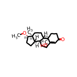 CO[C@H]1CC[C@H]2[C@@H]3CCC4=CC(=O)CC[C@]4(CO)[C@H]3CC[C@]12C